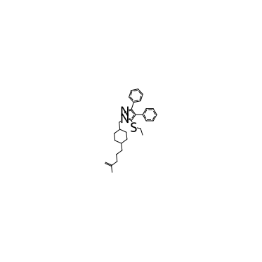 C=C(C)CCCC1CCC(Cn2nc(-c3ccccc3)c(-c3ccccc3)c2SCC)CC1